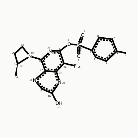 Cc1ccc(S(=O)(=O)Oc2nc(N3CC[C@@H]3C)c3ncc(O)nc3c2F)cc1